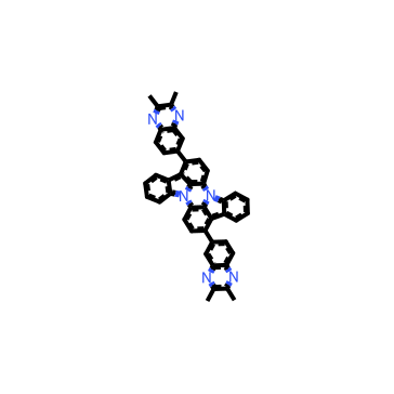 Cc1nc2ccc(-c3ccc4c5c3c3ccccc3n5c3ccc(-c5ccc6nc(C)c(C)nc6c5)c5c6ccccc6n4c53)cc2nc1C